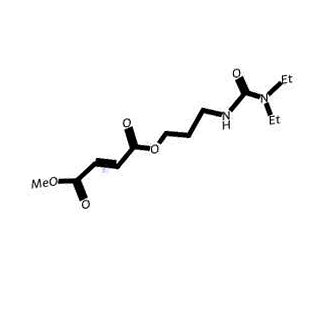 CCN(CC)C(=O)NCCCOC(=O)/C=C/C(=O)OC